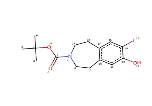 CC(C)(C)OC(=O)N1CCc2cc(O)c(I)cc2CC1